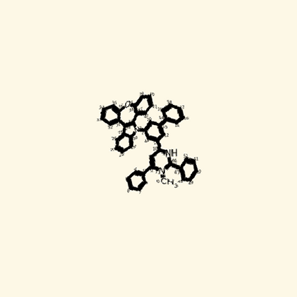 CN1C(c2ccccc2)=CC(c2cc(-c3ccccc3)cc(-n3c4c(c5ccccc53)-c3ccccc3Oc3ccccc3-4)c2)NC1c1ccccc1